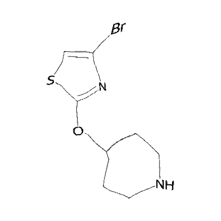 Brc1csc(OC2CCNCC2)n1